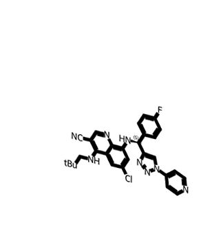 CC(C)(C)CNc1c(C#N)cnc2c(N[C@@H](c3ccc(F)cc3)c3cn(-c4ccncc4)nn3)cc(Cl)cc12